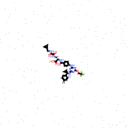 O=C(NCC1CC1)C(=O)NC[C@H](NC(=O)c1ccc(Nc2nc(NC3(c4ccc(Cl)cc4)CC3)nc(OCC(F)(F)F)n2)cc1)C(=O)O